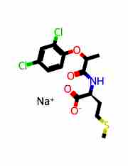 CSCC[C@H](NC(=O)C(C)Oc1ccc(Cl)cc1Cl)C(=O)[O-].[Na+]